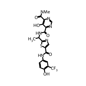 CNC(=O)c1ncnc(C(=O)NC(C)c2ncc(C(=O)Nc3ccc(O)c(C(F)(F)F)c3)s2)c1O